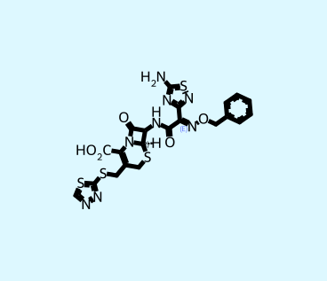 Nc1nc(/C(=N\OCc2ccccc2)C(=O)NC2C(=O)N3C(C(=O)O)=C(CSc4nncs4)CS[C@H]23)ns1